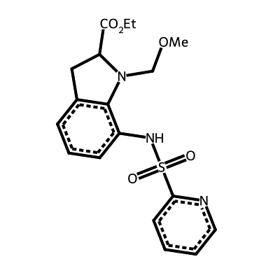 CCOC(=O)C1Cc2cccc(NS(=O)(=O)c3ccccn3)c2N1COC